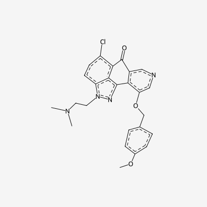 COc1ccc(COc2cncc3c2-c2nn(CCN(C)C)c4ccc(Cl)c(c24)C3=O)cc1